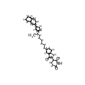 CC(CCCCCCc1ccc2c(c1)C(=O)N(C1CCC(=O)NC1=O)C2)n1cc(-c2cnc3ccccc3n2)cn1